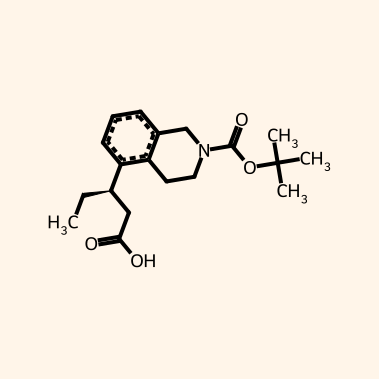 CC[C@H](CC(=O)O)c1cccc2c1CCN(C(=O)OC(C)(C)C)C2